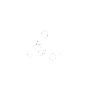 Cc1c(C)n(Cc2cccc(F)c2)c2c(Cc3ccccc3)nccc12.Cl